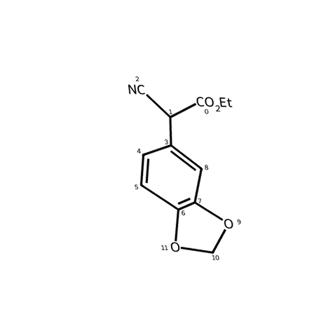 CCOC(=O)C(C#N)c1ccc2c(c1)OCO2